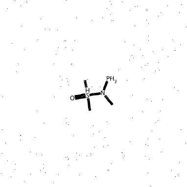 CN(P)[SH](C)(C)=O